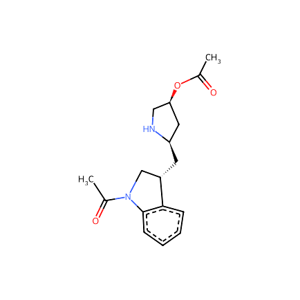 CC(=O)O[C@@H]1CN[C@H](C[C@H]2CN(C(C)=O)c3ccccc32)C1